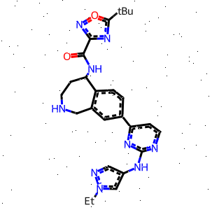 CCn1cc(Nc2nccc(-c3ccc4c(c3)CNCCC4NC(=O)c3noc(C(C)(C)C)n3)n2)cn1